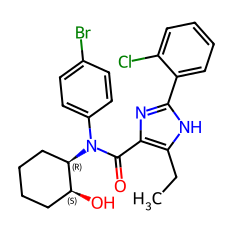 CCc1[nH]c(-c2ccccc2Cl)nc1C(=O)N(c1ccc(Br)cc1)[C@@H]1CCCC[C@@H]1O